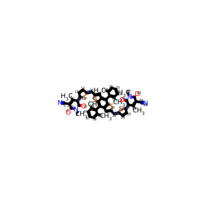 CC1=C(C#N)C(=O)N(C)C(=O)/C1=c1/cc/c(=C/c2cc3c(-c4c(C)cccc4C)c4sc(/C=c5/cc/c(=C6/C(=O)N(C)C(=O)C(C#N)=C6C)s5)cc4c(-c4c(C)cccc4C)c3s2)s1